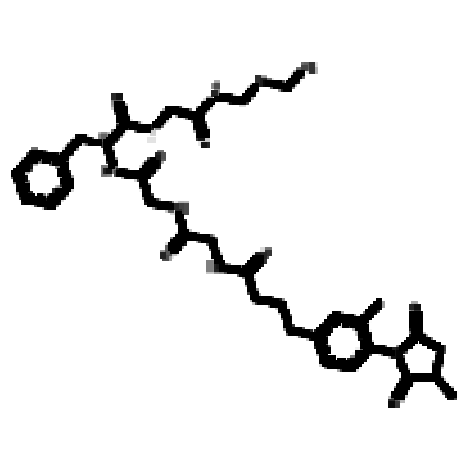 CC(=O)COCNC(=O)CNC(=O)[C@H](Cc1ccccc1)NC(=O)CNC(=O)CNC(=O)CCCc1ccc(N2C(=O)CC(C)C2=O)c(C)c1